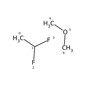 CC(F)F.COC